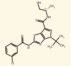 C[C@@H](CO)NC(=O)c1nn(C(C)(C)C)c2nc(NC(=O)c3cccc(Cl)c3)sc12